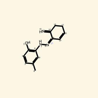 Cc1ccc(O)c(N/N=C2/C=CCCC2=N)c1